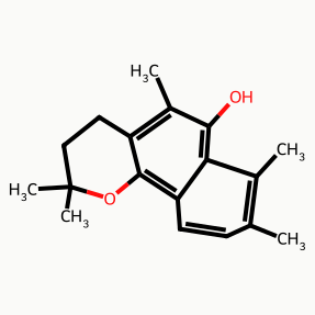 Cc1ccc2c3c(c(C)c(O)c2c1C)CCC(C)(C)O3